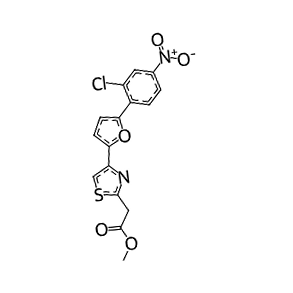 COC(=O)Cc1nc(-c2ccc(-c3ccc([N+](=O)[O-])cc3Cl)o2)cs1